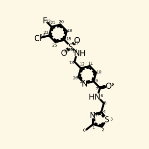 Cc1csc(CNC(=O)c2ccc(CNS(=O)(=O)c3ccc(F)c(Cl)c3)cn2)n1